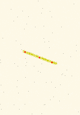 S=S=S=S=S=S=S=S=S=S=S=S=S=S=S=S=S=S=S=S=S=S=S=S=S=S=S=S=S=S=S=S=S=S=S=S=S=S